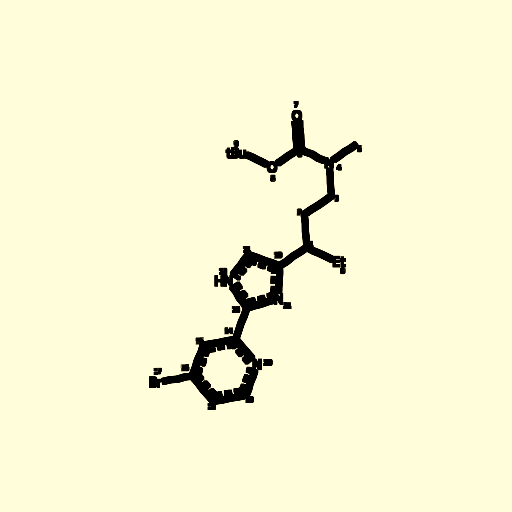 CCC(CCN(C)C(=O)OC(C)(C)C)c1c[nH]c(-c2cc(Br)ccn2)n1